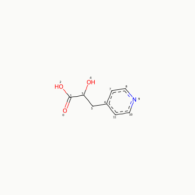 O=C(O)C(O)Cc1ccncc1